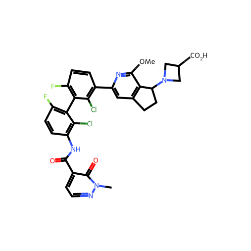 COc1nc(-c2ccc(F)c(-c3c(F)ccc(NC(=O)c4ccnn(C)c4=O)c3Cl)c2Cl)cc2c1C(N1CC(C(=O)O)C1)CC2